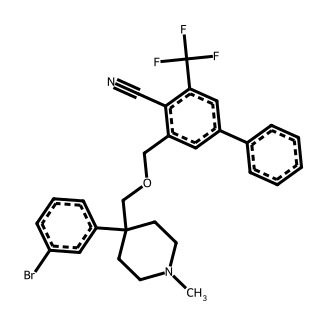 CN1CCC(COCc2cc(-c3ccccc3)cc(C(F)(F)F)c2C#N)(c2cccc(Br)c2)CC1